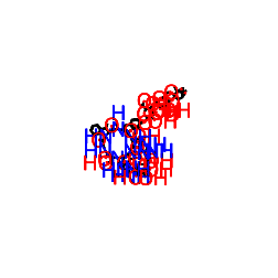 CC(c1ccccc1)C1NC(=O)CNC(=O)C(CO)NC(=O)C(C(O)C2CNC(=N)N2C2OC(CO)C(O)C(O)C2O)NC(=O)C(C(O)C2CNC(=N)N2)NC(=O)C(Cc2ccc(OC3OC(CO)C(OC4OC5COC6(CC7CCC6(C)C7(C)C)OC5C(O)C4O)C(O)C3O)cc2)NC1=O